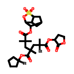 CCC1(OC(=O)C(C)(CC(C)(C)C(=O)OC2C3CC4C2OS(=O)(=O)C4C3)CC(C)(CC)C(=O)OC2CCOC2=O)CCCC1